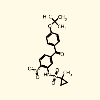 CC(C)(C)Oc1ccc(C(=O)c2ccc([N+](=O)[O-])c(NS(=O)(=O)C3(C)CC3)c2)cc1